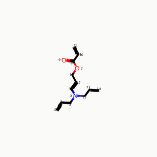 C=CCN(C=CCOC(=O)C=C)CC=C